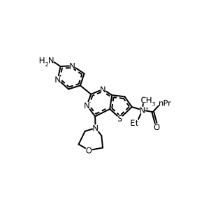 CCCC(=O)[N+](C)(CC)c1cc2nc(-c3cnc(N)nc3)nc(N3CCOCC3)c2s1